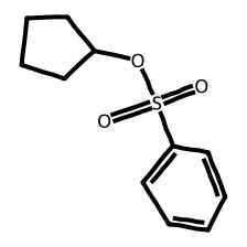 O=S(=O)(OC1CCCC1)c1ccccc1